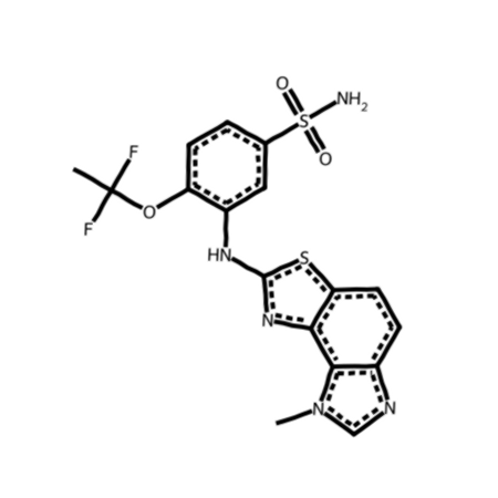 Cn1cnc2ccc3sc(Nc4cc(S(N)(=O)=O)ccc4OC(C)(F)F)nc3c21